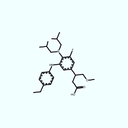 CCc1ccc(Nc2cc(C(COC)CC(=O)O)cc(F)c2N(CC(C)C)CC(C)C)cc1